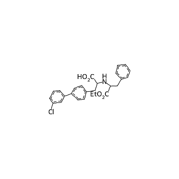 CCOC(=O)C(Cc1ccccc1)NC(Cc1ccc(-c2cccc(Cl)c2)cc1)C(=O)O